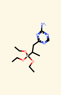 CCO[Si](OCC)(OCC)C(C)Cc1ncnc(N)n1